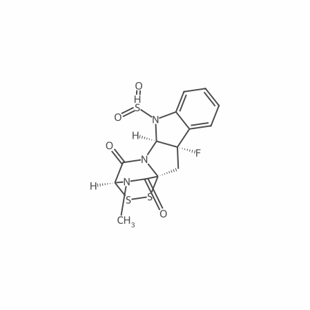 CN1C(=O)[C@@]23C[C@]4(F)c5ccccc5N([SH](=O)=O)[C@@H]4N2C(=O)[C@@H]1SS3